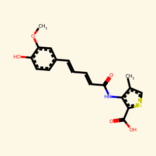 COc1cc(/C=C/C=C/C(=O)Nc2c(C)csc2C(=O)O)ccc1O